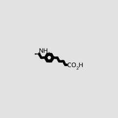 C[C@@H](N)Cc1ccc(CCCCC(=O)O)cc1